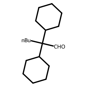 CCCCC(C=O)(C1CCCCC1)C1CCCCC1